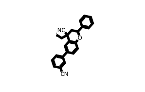 N#Cc1cccc(-c2ccc3c(c2)C(C#N)(CI)CC(c2ccccc2)O3)c1